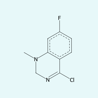 CN1CN=C(Cl)c2ccc(F)cc21